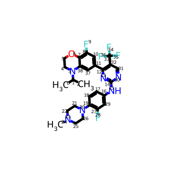 CC(C)N1CCOc2c(F)cc(-c3nc(Nc4ccc(N5CCN(C)CC5)c(F)c4)ncc3C(F)(F)F)cc21